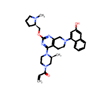 C=CC(=O)N1CCN(c2nc(OC[C@H]3CCCN3C)nc3c2CCN(c2cc(O)cc4ccccc24)C3)[C@@H](C)C1